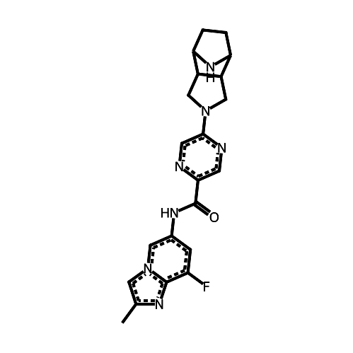 Cc1cn2cc(NC(=O)c3cnc(N4CC5C6CCC(N6)C5C4)cn3)cc(F)c2n1